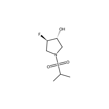 CC(C)S(=O)(=O)N1C[C@@H](O)[C@H](F)C1